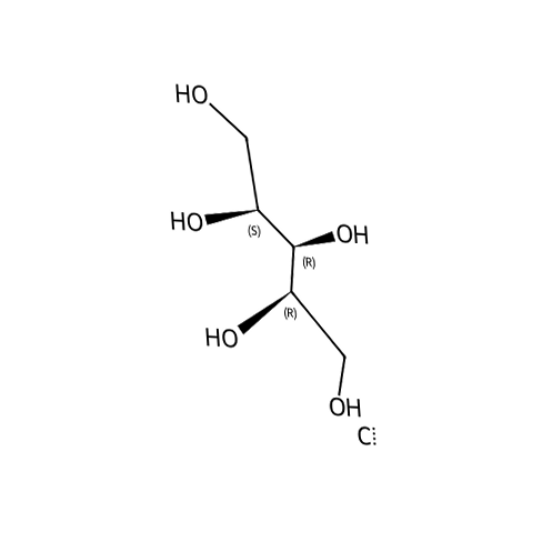 OC[C@@H](O)[C@H](O)[C@@H](O)CO.[C]